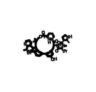 CCn1c(-c2cccnc2[C@H](C)OC)c2c3cc(ccc31)-c1cc(O)cc(c1)C[C@H](NC(=O)[C@H](C(C)C)N(C)C(=O)[C@H]1CCN[C@H]1C)C(=O)N1CCC[C@H](N1)C(=O)OCC(C)(C)C2